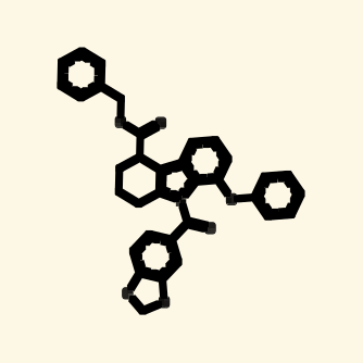 O=C(OCc1ccccc1)C1CCCc2c1c1cccc(Oc3ccccc3)c1n2C(=O)c1ccc2c(c1)OCO2